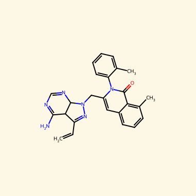 C=CC1=NN(Cc2cc3cccc(C)c3c(=O)n2-c2ccccc2C)C2N=CN=C(N)C12